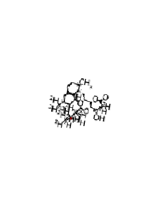 [2H]C([2H])([2H])[C@H]1C=C2C=C[C@H](C)[C@H](CCC3C[C@@H](O)C([2H])([2H])C(=O)O3)[C@H]2[C@@H](OC(=O)[C@@]([2H])(C([2H])([2H])[2H])C([2H])([2H])C([2H])([2H])[2H])C1